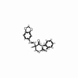 CC1(N=Nc2ccc3c(c2)OCO3)CSc2nc3ccccc3n2C1=O